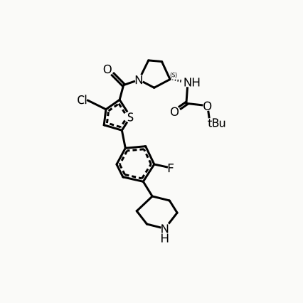 CC(C)(C)OC(=O)N[C@H]1CCN(C(=O)c2sc(-c3ccc(C4CCNCC4)c(F)c3)cc2Cl)C1